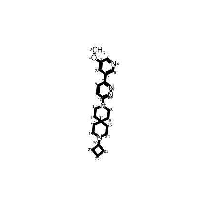 COc1cncc(-c2ccc(N3CCC4(CC3)CCN(C3CCC3)CC4)nn2)c1